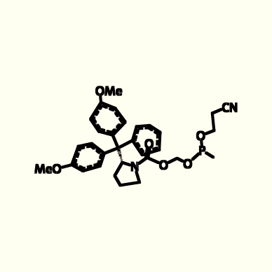 COc1ccc(C(c2ccccc2)(c2ccc(OC)cc2)[C@H]2CCCN2C(=O)OCOP(C)OCCC#N)cc1